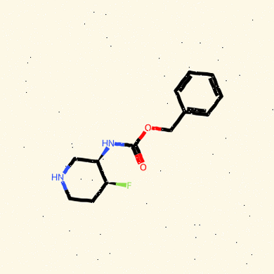 O=C(N[C@@H]1CNCC[C@@H]1F)OCc1ccccc1